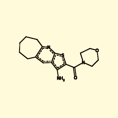 Nc1c(C(=O)N2CCOCC2)sc2nc3c(cc12)CCCCC3